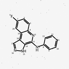 Fc1ccc2nc(Nc3cc[c]cc3)c3[nH]ncc3c2c1